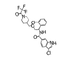 O=C(NC(COCC1CCN(C(=O)C(F)(F)F)CC1)c1ccccc1Cl)c1ccc2c(Cl)c[nH]c2c1